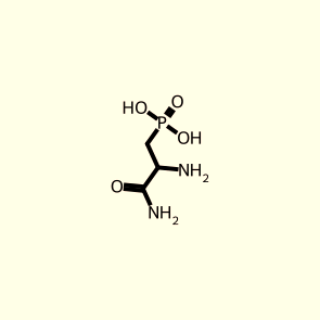 NC(=O)C(N)CP(=O)(O)O